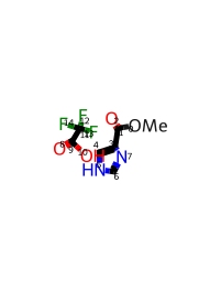 COC(=O)c1c[nH]cn1.O=C(O)C(F)(F)F